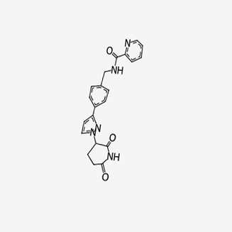 O=C1CCC(n2ccc(-c3ccc(CNC(=O)c4ccccn4)cc3)n2)C(=O)N1